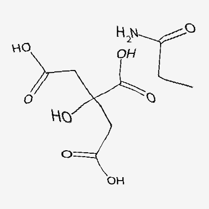 CCC(N)=O.O=C(O)CC(O)(CC(=O)O)C(=O)O